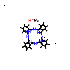 Cc1c(C)c(C)c2c(c1C)-c1nc-2nc2[nH]c(nc3nc(nc4[nH]c(n1)c1c(C)c(C)c(C)c(C)c41)-c1c(C)c(C)c(C)c(C)c1-3)c1c(C)c(C)c(C)c(C)c21.[OH][Mn]